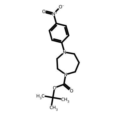 CC(C)(C)OC(=O)N1CCCN(c2ccc([N+](=O)[O-])cc2)CC1